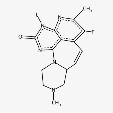 Cc1nc2c3c(nc(=O)n2I)N2CCN(C)CC2C=Cc3c1F